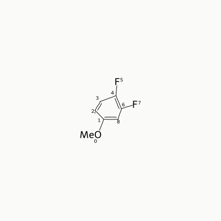 COc1[c]cc(F)c(F)c1